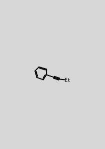 [CH2]CC#Cc1ccccc1